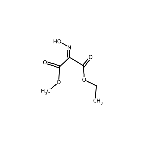 CCOC(=O)/C(=N/O)C(=O)OC